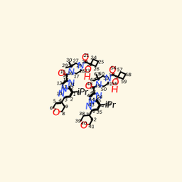 CC(C)c1cc(C2=CCOCC2)nn2cc(C(=O)N3CCN(C(=O)C4(O)CCC4)CC3(C)C)nc12.CC(C)c1cc(C2CCOCC2)nn2cc(C(=O)N3CCN(C(=O)C4(O)CCC4)CC3(C)C)nc12